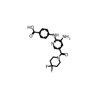 Nc1cc(C(=O)N2CCC(F)(F)CC2)cnc1Nc1ccc(C(=O)O)cc1